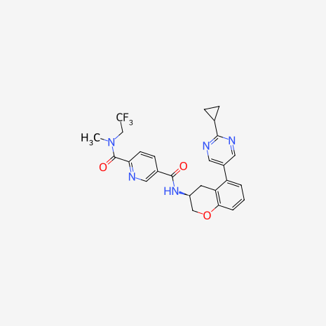 CN(CC(F)(F)F)C(=O)c1ccc(C(=O)N[C@@H]2COc3cccc(-c4cnc(C5CC5)nc4)c3C2)cn1